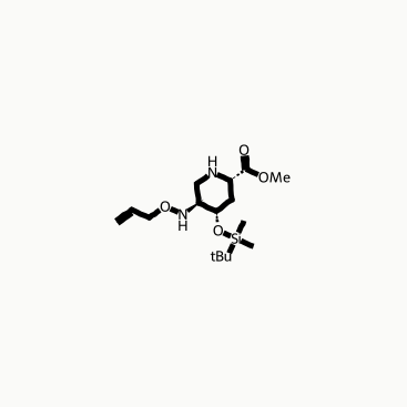 C=CCON[C@H]1CN[C@H](C(=O)OC)C[C@@H]1O[Si](C)(C)C(C)(C)C